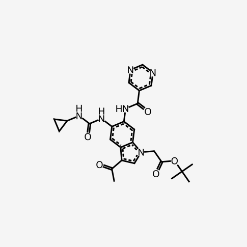 CC(=O)c1cn(CC(=O)OC(C)(C)C)c2cc(NC(=O)c3cncnc3)c(NC(=O)NC3CC3)cc12